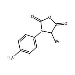 Cc1ccc(N2C(=O)OC(=O)C2C(C)C)cc1